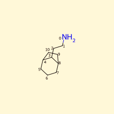 NCCC1C2CCCC1CC2